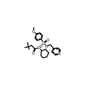 COc1ccc(S(=O)(=O)N(Cc2ccncc2)[C@@H]2CCCCC2OC(=O)CC(C)(C)C)cc1